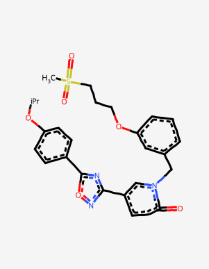 CC(C)Oc1ccc(-c2nc(-c3ccc(=O)n(Cc4cccc(OCCCS(C)(=O)=O)c4)c3)no2)cc1